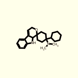 CN(C)C1(C2CCCCC2)CCC2(CC1)OCC=C1c3ccccc3NC12